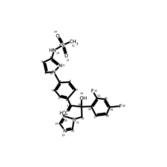 C=C(c1ccc(-n2ccc(NS(C)(=O)=O)n2)cc1)C(O)(Cn1cncn1)c1ccc(F)cc1F